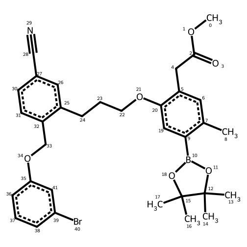 COC(=O)Cc1cc(C)c(B2OC(C)(C)C(C)(C)O2)cc1OCCCc1cc(C#N)ccc1COc1cccc(Br)c1